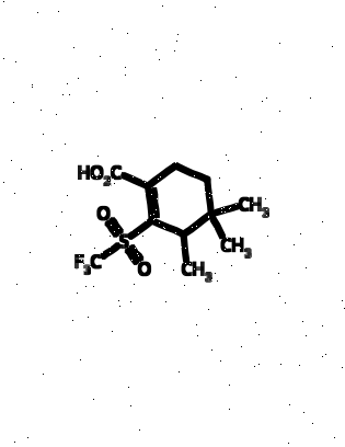 CC1C(S(=O)(=O)C(F)(F)F)=C(C(=O)O)CCC1(C)C